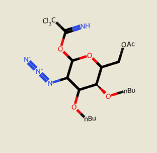 CCCCOC1C(N=[N+]=[N-])C(OC(=N)C(Cl)(Cl)Cl)OC(COC(C)=O)[C@H]1OCCCC